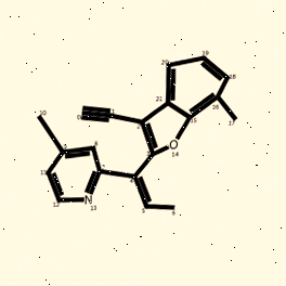 C#Cc1c(/C(=C\C)c2cc(C)ccn2)oc2c(C)cccc12